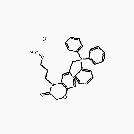 COCCCN1C(=O)COc2ccc(C[P+](c3ccccc3)(c3ccccc3)c3ccccc3)cc21.[Cl-]